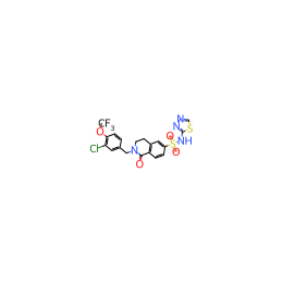 O=C1c2ccc(S(=O)(=O)Nc3nncs3)cc2CCN1Cc1ccc(OC(F)(F)F)c(Cl)c1